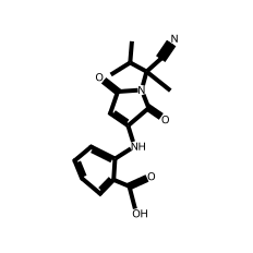 CC(C)C(C)(C#N)N1C(=O)C=C(Nc2ccccc2C(=O)O)C1=O